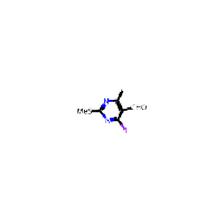 CSc1nc(C)c(C=O)c(I)n1